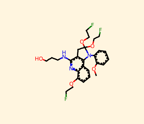 COc1ccccc1N1c2c(c(NCCCO)nc3c(OCCF)cccc23)CC1(OCCF)OCCF